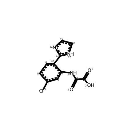 O=C(O)C(=O)Nc1cc(Cl)ccc1-c1ncc[nH]1